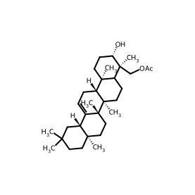 CC(=O)OC[C@@]1(C)C2CC[C@]3(C)[C@H](CC=C4[C@H]5CC(C)(C)CC[C@]5(C)CC[C@]43C)[C@@]2(C)CC[C@@H]1O